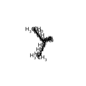 CC(C)CNCCCNCCCNCc1cc(CNCCCNCCCNCC(C)C)cc(OCc2ccccc2)c1.Cl